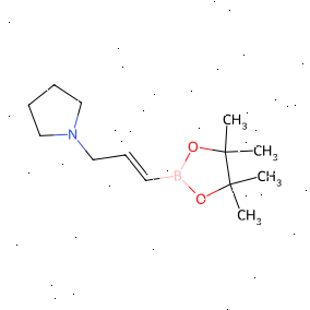 CC1(C)OB(/C=C/CN2CCCC2)OC1(C)C